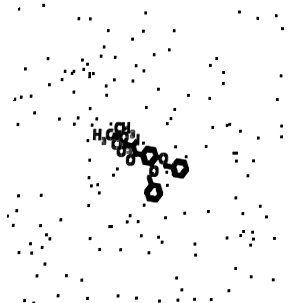 CC(C)(C)OC(=O)C(I)C(=O)c1ccc(OCc2ccccc2)c(OCc2ccccc2)c1